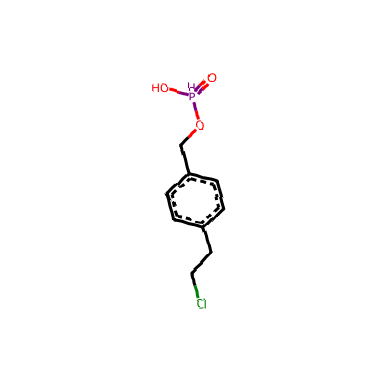 O=[PH](O)OCc1ccc(CCCl)cc1